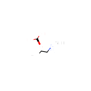 CCCN.O=C(O)O.[NaH]